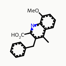 COc1cccc2c(C)c(Cc3ccccc3)c(C(=O)O)nc12